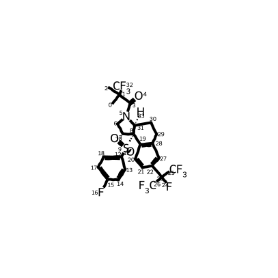 CC(C)(C(=O)N1CC[C@]2(S(=O)(=O)c3ccc(F)cc3)c3ccc(C(F)(C(F)(F)F)C(F)(F)F)cc3CC[C@H]12)C(F)(F)F